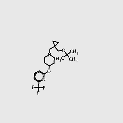 CC(C)(C)OCC1(CN2CCC(Oc3cccc(C(F)(F)F)n3)CC2)CC1